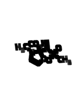 CN1C=COC1(NS(C)(=O)=O)C(=O)O